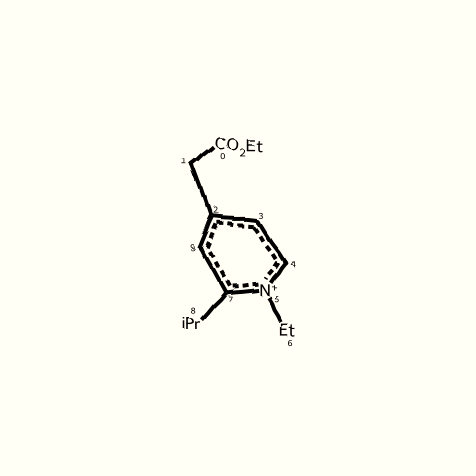 CCOC(=O)Cc1cc[n+](CC)c(C(C)C)c1